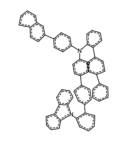 c1ccc(-c2ccc(-c3ccccc3N(c3ccc(-c4ccc(-c5ccccc5-n5c6ccccc6c6ccccc65)cc4)cc3)c3ccc(-c4ccc5ccccc5c4)cc3)cc2)cc1